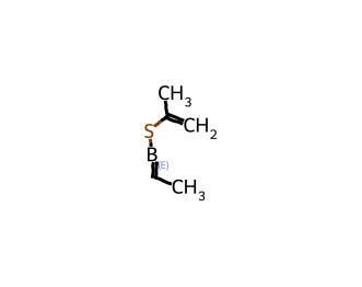 C=C(C)S/B=C/C